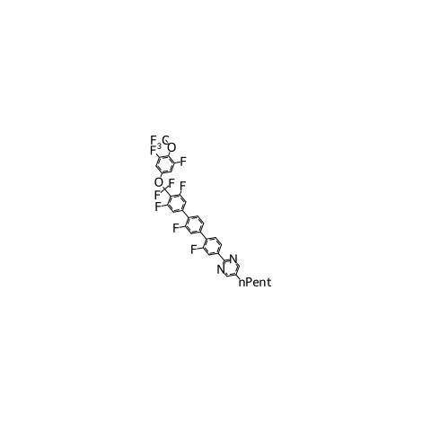 CCCCCc1cnc(-c2ccc(-c3ccc(-c4cc(F)c(C(F)(F)Oc5cc(F)c(OC(F)(F)F)c(F)c5)c(F)c4)c(F)c3)c(F)c2)nc1